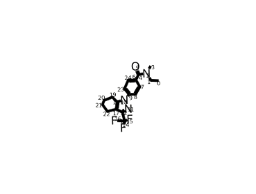 CCN(C)C(=O)c1ccc(-n2nc(C(F)(F)F)c3c2CCCC3)cc1